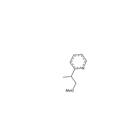 [CH2]OCC(C)c1ccccn1